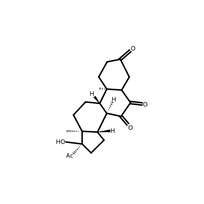 CC(=O)[C@@]1(O)CC[C@H]2[C@@H]3C(=O)C(=O)C4CC(=O)CC[C@]4(C)[C@H]3CC[C@@]21C